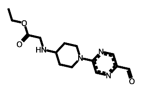 CCOC(=O)CNC1CCN(c2cnc(C=O)cn2)CC1